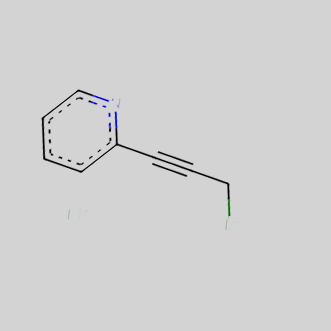 Br.BrCC#Cc1ccccn1